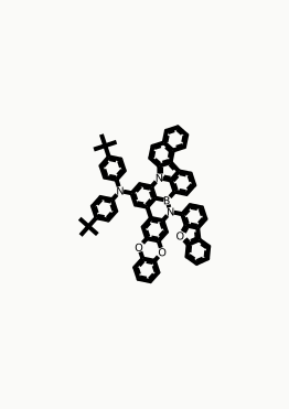 CC(C)(C)c1ccc(N(c2ccc(C(C)(C)C)cc2)c2cc3c4c(c2)-n2c5ccc6ccccc6c5c5cccc(c52)B4N(c2cccc4c2oc2ccccc24)c2cc4c(cc2-3)Oc2ccccc2O4)cc1